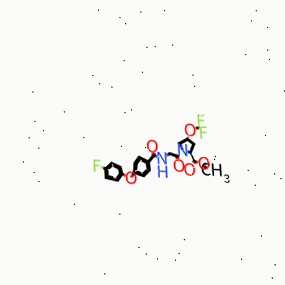 COC(=O)[C@@H]1C[C@@H](OC(F)F)CN1C(=O)CNC(=O)c1ccc(Oc2ccc(F)cc2)cc1